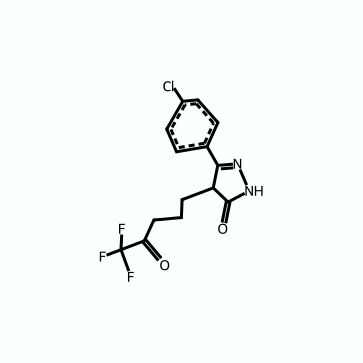 O=C1NN=C(c2ccc(Cl)cc2)C1CCCC(=O)C(F)(F)F